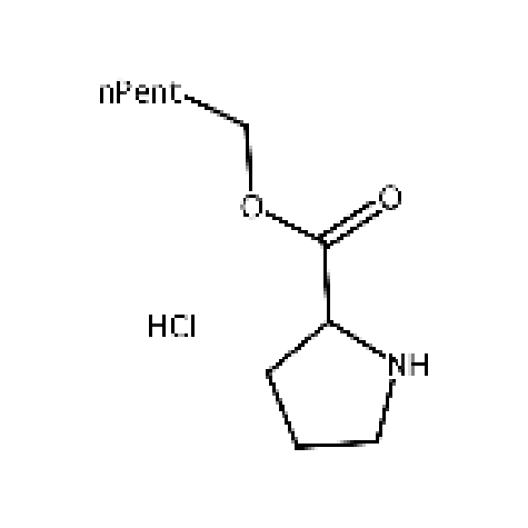 CCCCCCOC(=O)C1CCCN1.Cl